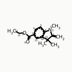 C=C1N(C)c2ccc(C(=O)OCC)cc2C1(C)C